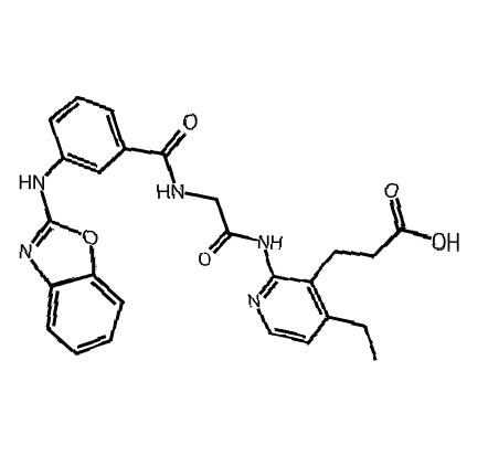 CCc1ccnc(NC(=O)CNC(=O)c2cccc(Nc3nc4ccccc4o3)c2)c1CCC(=O)O